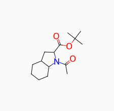 CC(=O)N1C(C(=O)OC(C)(C)C)CC2CCCCC21